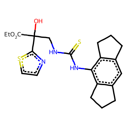 CCOC(=O)C(O)(CNC(=S)Nc1c2c(cc3c1CCC3)CCC2)c1nccs1